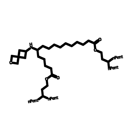 CCCCCC(CCCCC)CCOC(=O)CCCCCCCCCC(CCCCC(=O)OCCC(CCCCC)CCCCC)NC1CC2(COC2)C1